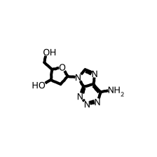 Nc1nnnc2c1ncn2C1CC(O)C(CO)O1